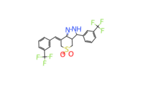 O=S1(=O)CC(=Cc2cccc(C(F)(F)F)c2)C2=NNC(c3cccc(C(F)(F)F)c3)C2C1